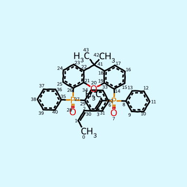 C/C=C\C=C(/C)P(=O)(c1ccccc1)c1cccc2c1Oc1c(cccc1P(=O)(c1ccccc1)c1ccccc1)C2(C)C